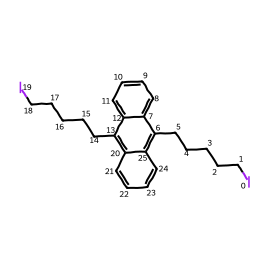 ICCCCCc1c2ccccc2c(CCCCCI)c2ccccc12